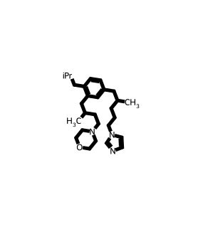 CC(C)Cc1ccc(CC(C)CCCn2ccnc2)cc1CC(C)CCN1CCOCC1